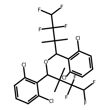 CC(C)(C(OC(c1c(Cl)cccc1Cl)C(C)(C)C(F)(F)C(F)F)c1c(Cl)cccc1Cl)C(F)(F)C(F)F